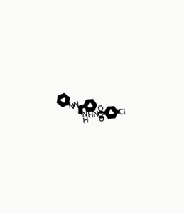 O=S(=O)(Nc1cccc2c(/N=N/c3ccccc3)c[nH]c12)c1ccc(Cl)cc1